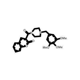 COc1cc(CN2CCN(C(=O)c3cc4ccccc4oc3=O)CC2)cc(OC)c1OC